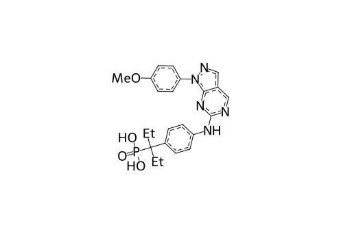 CCC(CC)(c1ccc(Nc2ncc3cnn(-c4ccc(OC)cc4)c3n2)cc1)P(=O)(O)O